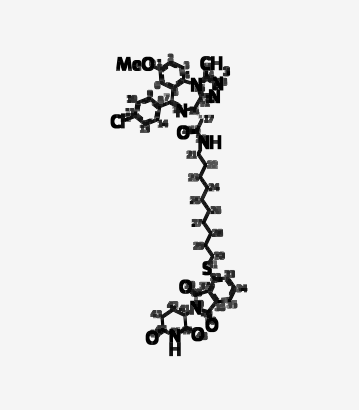 COc1ccc2c(c1)C(c1ccc(Cl)cc1)=N[C@@H](CC(=O)NCCCCCCCCCCSc1cccc3c1C(=O)N(C1CCC(=O)NC1=O)C3=O)c1nnc(C)n1-2